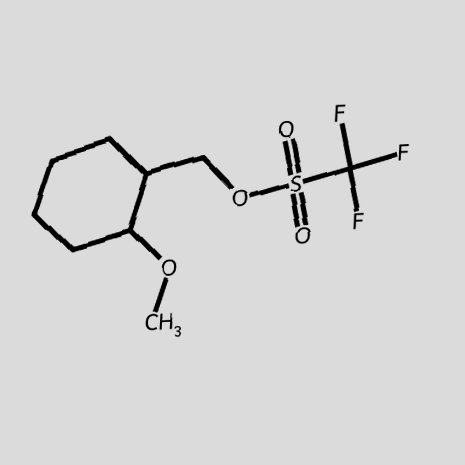 COC1CCCCC1COS(=O)(=O)C(F)(F)F